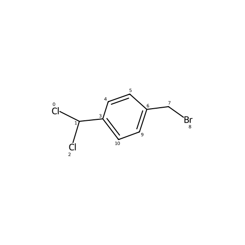 ClC(Cl)c1ccc(CBr)cc1